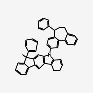 CC1(c2ccccc2)c2ccccc2-c2cc3c4c(n(-c5ccc6c(c5)-c5ccccc5CCC6c5ccccc5)c3cc21)C=CCC4